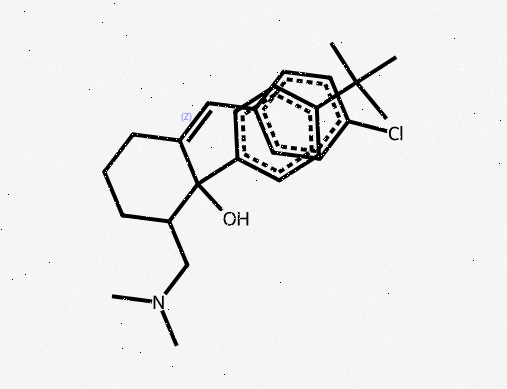 CN(C)CC1CCC/C(=C/c2ccc(Cl)cc2)C1(O)c1ccc(C(C)(C)C)cc1